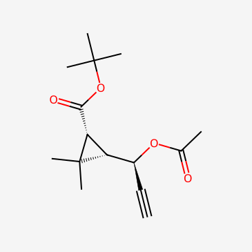 C#C[C@H](OC(C)=O)[C@H]1[C@@H](C(=O)OC(C)(C)C)C1(C)C